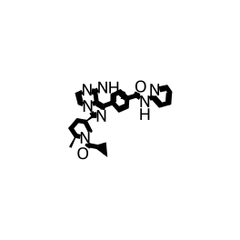 C[C@H]1CC[C@@H](c2nc(-c3ccc(C(=O)Nc4ccccn4)cc3)c3c(N)nccn23)CN1C(=O)C1CC1